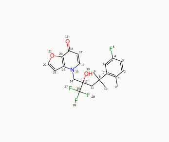 Cc1ccc(F)cc1C(C)(C)CC(O)(Cn1ccc(=O)c2occc21)C(F)(F)F